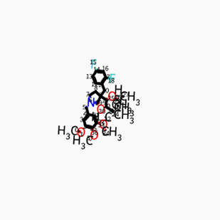 COc1cc(CN2CCC(Cc3ccc(F)cc3F)(C(CC(C)(C)C)O[SiH](C)C)C2=O)cc(OC)c1OC